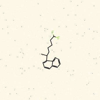 [CH2]C(CCCCC(F)F)c1cccc2ccccc12